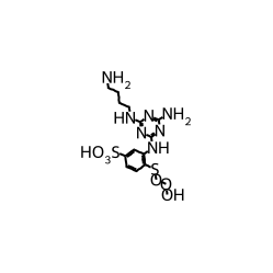 NCCCCNc1nc(N)nc(Nc2cc(S(=O)(=O)O)ccc2SOOO)n1